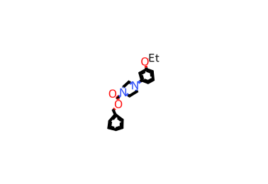 CCOc1cccc(N2CCN(C(=O)OCc3ccccc3)CC2)c1